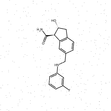 NC(=O)[C@@H]1c2cc(CNc3cccc(F)c3)ccc2C[C@H]1O